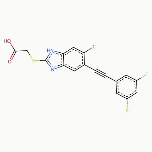 O=C(O)CSc1nc2cc(C#Cc3cc(F)cc(F)c3)c(Cl)cc2[nH]1